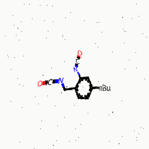 CCCCc1ccc(CN=C=O)c(N=C=O)c1